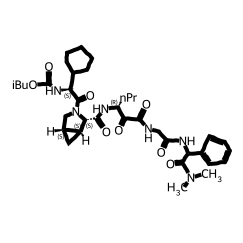 CCC[C@@H](NC(=O)[C@@H]1[C@H]2C[C@@H]2CN1C(=O)[C@@H](NC(=O)OCC(C)C)C1CCCCC1)C(=O)C(=O)NCC(=O)NC(C(=O)N(C)C)c1ccccc1